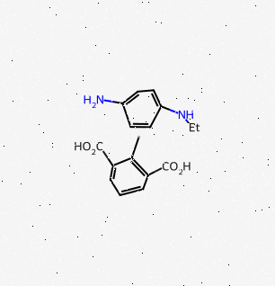 CCNc1ccc(N)cc1.Cc1c(C(=O)O)cccc1C(=O)O